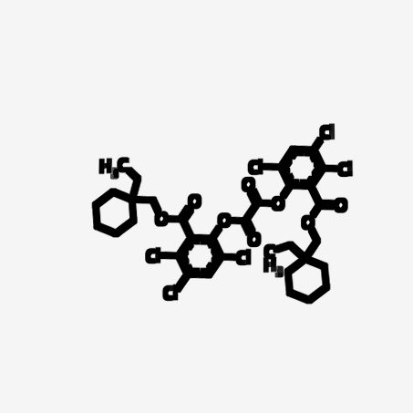 CCC1(COC(=O)c2c(Cl)c(Cl)cc(Cl)c2OC(=O)C(=O)Oc2c(Cl)cc(Cl)c(Cl)c2C(=O)OCC2(CC)CCCCC2)CCCCC1